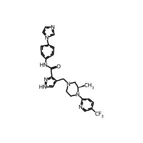 C[C@@H]1CN(Cc2c[nH]nc2C(=O)Nc2ccc(-n3ccnc3)cc2)CCN1c1ccc(C(F)(F)F)cn1